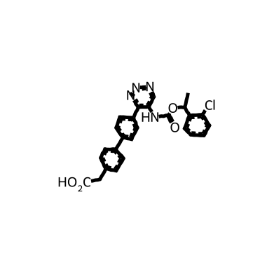 CC(OC(=O)Nc1cnnnc1-c1ccc(-c2ccc(CC(=O)O)cc2)cc1)c1ccccc1Cl